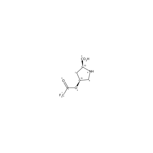 O=C(O)[C@@H]1C[C@H](OC(=O)C(F)(F)F)CN1